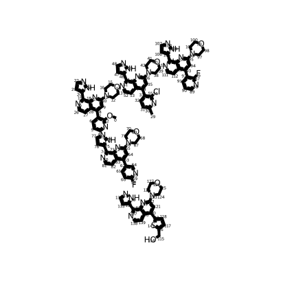 COc1ncccc1-c1cc(N2CCOCC2)nc2c(-c3ccn[nH]3)nccc12.Cc1ccc(-c2cc(N3CCOCC3)nc3c(-c4ccn[nH]4)nccc23)c(Cl)n1.Fc1ccc(-c2cc(N3CCOCC3)nc3c(-c4ccn[nH]4)nccc23)cn1.Fc1ncccc1-c1cc(N2CCOCC2)nc2c(-c3ccn[nH]3)nccc12.OCc1ccc(-c2cc(N3CCOCC3)nc3c(-c4ccn[nH]4)nccc23)s1